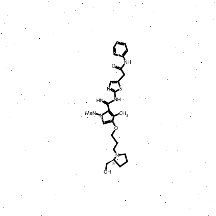 CNn1cc(OCCCN2CCC[C@H]2CO)c(C)c1C(=N)Nc1ncc(CC(=O)Nc2ccccc2)s1